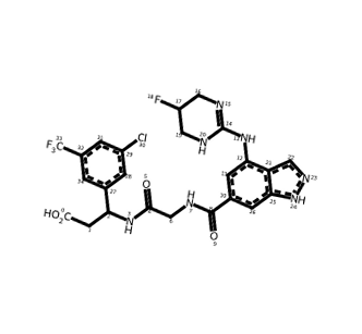 O=C(O)CC(NC(=O)CNC(=O)c1cc(NC2=NCC(F)CN2)c2cn[nH]c2c1)c1cc(Cl)cc(C(F)(F)F)c1